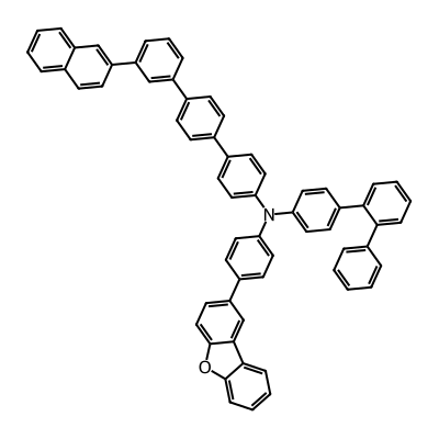 c1ccc(-c2ccccc2-c2ccc(N(c3ccc(-c4ccc(-c5cccc(-c6ccc7ccccc7c6)c5)cc4)cc3)c3ccc(-c4ccc5oc6ccccc6c5c4)cc3)cc2)cc1